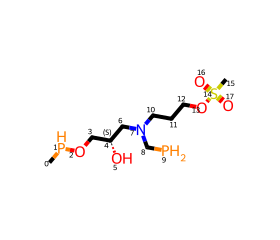 CPOC[C@@H](O)CN(CP)CCCOS(C)(=O)=O